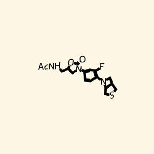 CC(=O)NCC1CN(c2ccc(N3CC4CSCC43)c(F)c2)C(=O)O1